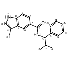 CC(C)C(NC(=O)c1ccc2[nH]nc(I)c2c1)c1ccccn1